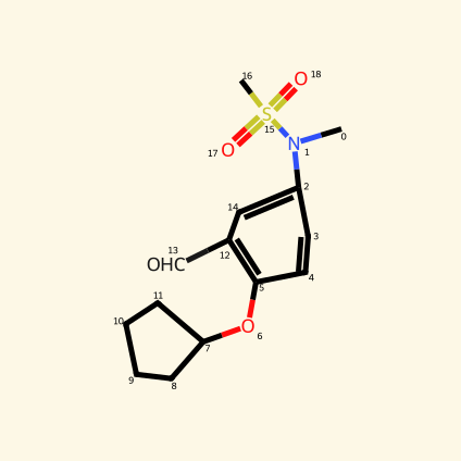 CN(c1ccc(OC2CCCC2)c(C=O)c1)S(C)(=O)=O